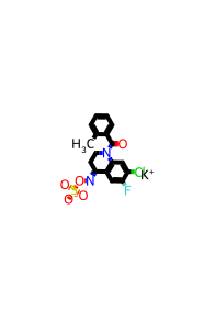 Cc1ccccc1C(=O)N1CCC(=NOS(=O)(=O)[O-])c2cc(F)c(Cl)cc21.[K+]